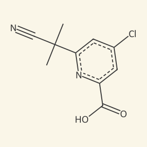 CC(C)(C#N)c1cc(Cl)cc(C(=O)O)n1